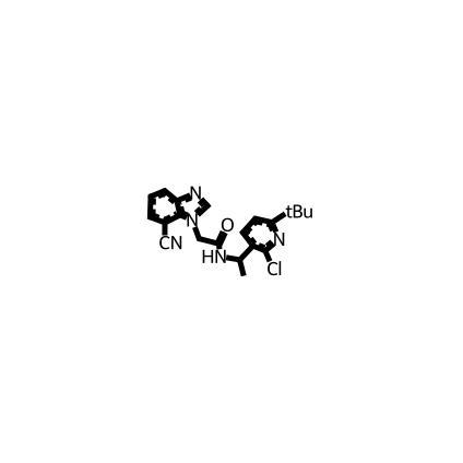 CC(NC(=O)Cn1cnc2cccc(C#N)c21)c1ccc(C(C)(C)C)nc1Cl